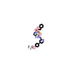 O=C(NCc1cc(-c2ccc(OC(F)(F)F)cc2)ccn1)[C@@H]1CCCN1S(=O)(=S)c1cc2ccccc2o1